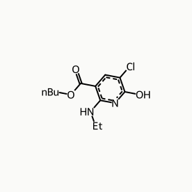 CCCCOC(=O)c1cc(Cl)c(O)nc1NCC